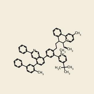 C=CC1C(CCc2ccc(-c3ccc(-c4cc(-c5ccccc5)ccc4C)c4cc(-c5ccccc5)ncc34)cc2-c2cc(C(C)(C)C)cc[n+]2C)c2ccccc2-c2cc(C)cc[n+]21